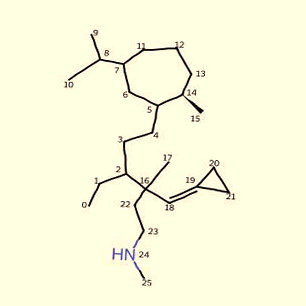 CCC(CCC1CC(C(C)C)CCC[C@H]1C)C(C)(C=C1CC1)CCNC